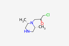 C[C@@H]1CNC[C@H](C)N1CC(=O)CCl